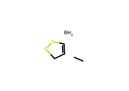 C1=CSSC1.CC.[BiH3]